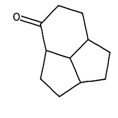 O=C1CCC2CCC3CCC1C23